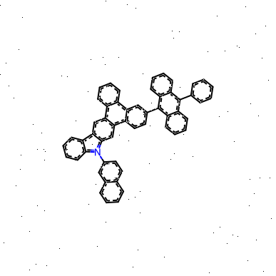 c1ccc(-c2c3ccccc3c(-c3ccc4c(c3)c3ccccc3c3cc5c6ccccc6n(-c6ccc7ccccc7c6)c5cc43)c3ccccc23)cc1